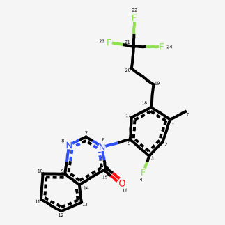 Cc1cc(F)c(-n2cnc3ccccc3c2=O)cc1CCC(F)(F)F